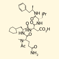 CC(=O)N(C)C(CCC(N)=O)C(=O)N[C@@H](CC1CCCCC1)C(=O)NC(CC(=O)O)C(=O)N[C@@H](CC(C)C)C(=O)N[C@H](C)Cc1ccccc1